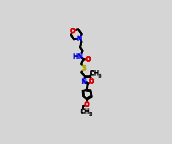 CCOc1ccc(-c2nc(CSCC(=O)NCCCN3CCOCC3)c(C)o2)cc1